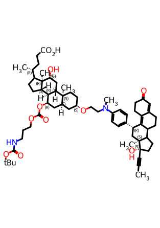 CC#C[C@]1(O)CCC2C3CCC4=CC(=O)CCC4=C3[C@@H](c3ccc(N(C)CCO[C@H]4CC[C@@]5(C)[C@@H](C4)C[C@@H](OC(=O)OCCCNC(=O)OC(C)(C)C)[C@@H]4[C@@H]5C[C@H](O)[C@]5(C)C([C@H](C)CCC(=O)O)CC[C@@H]45)cc3)C[C@@]21C